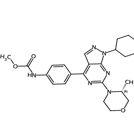 COC(=O)Nc1ccc(-c2nc(N3CCOC[C@H]3C)nc3c2cnn3C2CCOCC2)cc1